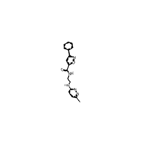 Cc1ccc(NCCNC(=O)c2cc(-c3ccccc3)no2)nn1